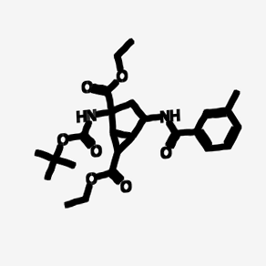 CCOC(=O)C1C2C(NC(=O)c3cccc(C)c3)CC(NC(=O)OC(C)(C)C)(C(=O)OCC)C12